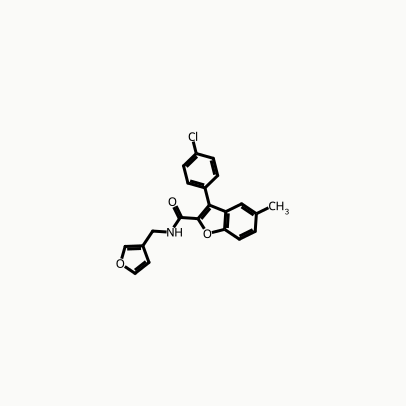 Cc1ccc2oc(C(=O)NCc3ccoc3)c(-c3ccc(Cl)cc3)c2c1